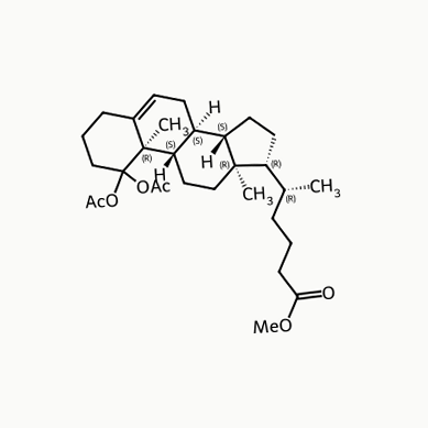 COC(=O)CCC[C@@H](C)[C@H]1CC[C@H]2[C@@H]3CC=C4CCCC(OC(C)=O)(OC(C)=O)[C@]4(C)[C@H]3CC[C@]12C